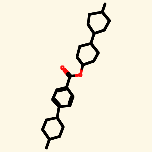 CC1CCC(c2ccc(C(=O)OC3CCC(C4CCC(C)CC4)CC3)cc2)CC1